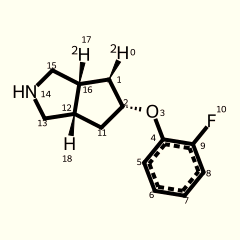 [2H][C@H]1[C@H](Oc2ccccc2F)C[C@@H]2CNC[C@@]21[2H]